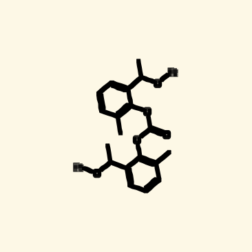 CCOC(C)c1cccc(C)c1OC(=O)Oc1c(C)cccc1C(C)OCC